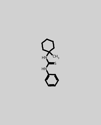 CC1(NC(=S)Nc2ccccc2)CCCCC1